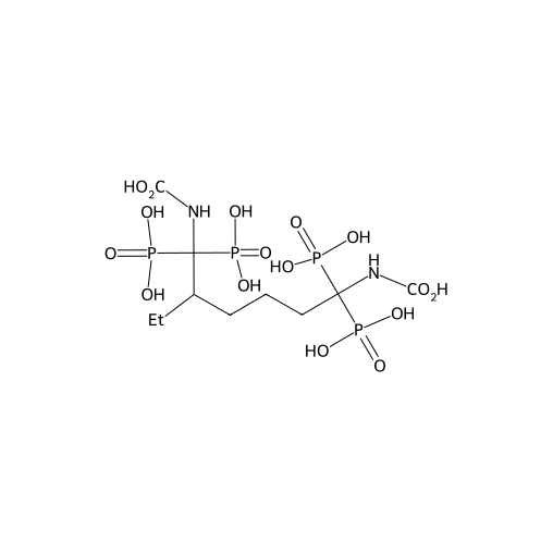 CCC(CCCC(NC(=O)O)(P(=O)(O)O)P(=O)(O)O)C(NC(=O)O)(P(=O)(O)O)P(=O)(O)O